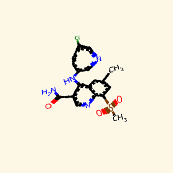 Cc1cc(S(C)(=O)=O)c2ncc(C(N)=O)c(Nc3cncc(Cl)c3)c2c1